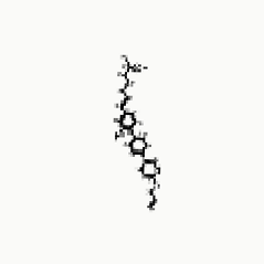 C=CCOc1ccc(-c2ccc(-c3ccc(/C=C/CCCC(C)O)cc3F)cc2)cn1